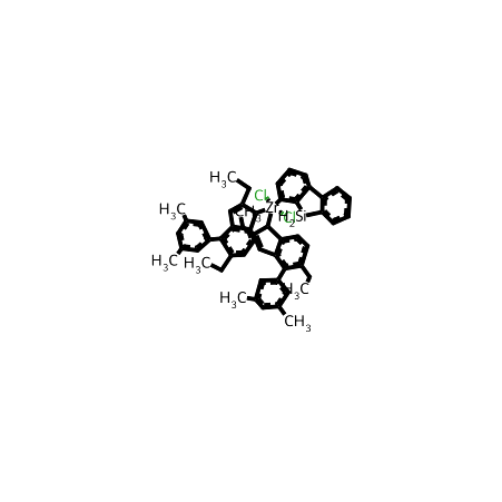 CCC1=Cc2c(ccc(CC)c2-c2cc(C)cc(C)c2)[CH]1[Zr]([Cl])([Cl])([c]1cccc2c1[SiH2]c1ccccc1-2)[CH]1C(CC)=Cc2c1ccc(CC)c2-c1cc(C)cc(C)c1